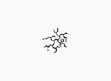 CCCCC(CC)CC(CC(CC(CC)CC)CC(CC)CC)CC(CC(CC(CC)CC)CC(CC)CC)CP(=O)(O)CCC